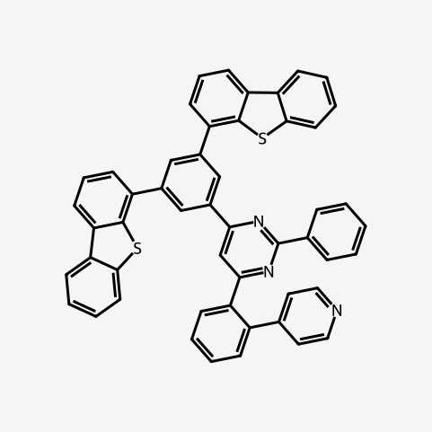 c1ccc(-c2nc(-c3cc(-c4cccc5c4sc4ccccc45)cc(-c4cccc5c4sc4ccccc45)c3)cc(-c3ccccc3-c3ccncc3)n2)cc1